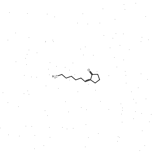 CCCCCCC=C1CCCC1=O